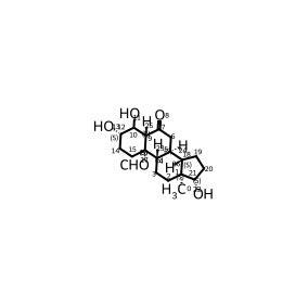 C[C@]12CC[C@H]3[C@@H](CC(=O)[C@H]4C(O)[C@@H](O)CC[C@@]43C=O)[C@@H]1CC[C@@H]2O